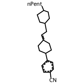 CCCCCC1CCC(CC=C2CCC(c3ccc(C#N)cc3)CC2)CC1